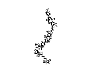 COc1ccc(C2=CN3C(=O)c4cc(OC)c(OCCCOc5cc6c(cc5OC)C(=O)N5C=C(c7ccc(NC(O)[C@H](C)NC(=O)[C@@H](NC(=O)CCCCCN8C(=O)C=CC8=O)C(C)C)cc7)C[C@H]5C=N6)cc4N=C[C@@H]3C2)cc1